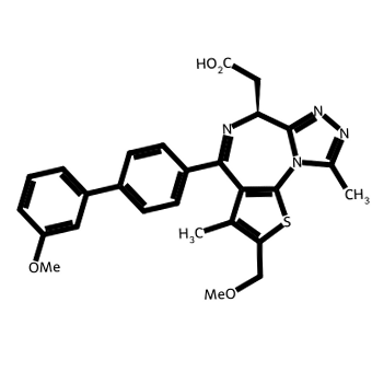 COCc1sc2c(c1C)C(c1ccc(-c3cccc(OC)c3)cc1)=N[C@@H](CC(=O)O)c1nnc(C)n1-2